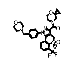 O=C(c1nn(-c2ccc(CN3CCOCC3)cc2)c2c1CS(=O)(=O)c1c-2cccc1C(F)(F)F)N1CCOC2(CC2)C1